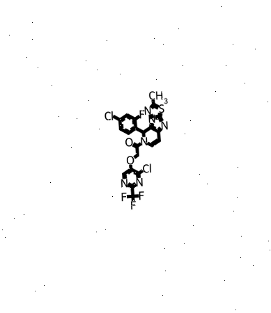 Cc1nn2c3c(nc2s1)C=CN(C(=O)COc1cnc(C(F)(F)F)nc1Cl)C3c1ccc(Cl)cc1F